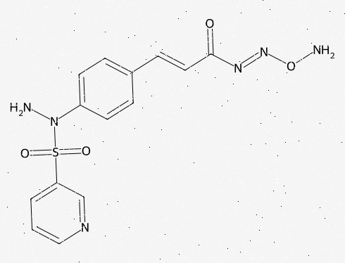 NON=NC(=O)/C=C/c1ccc(N(N)S(=O)(=O)c2cccnc2)cc1